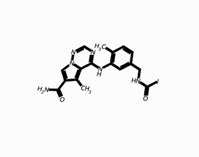 Cc1ccc(CNC(=O)I)cc1Nc1ncnn2cc(C(N)=O)c(C)c12